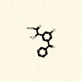 CNC(=O)C(N)c1cc(Cl)cc(C(=O)c2ccccc2)c1